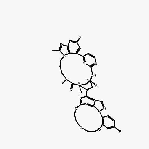 Cc1nc2cc(F)cc3c2n1CCCN(C)C(=O)[C@@H]1C[C@@H](CN1c1nc2nc4c1cnn4-c1ccc(F)cc1OCCOCCO2)Nc1nccc-3n1